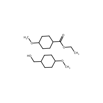 CCOC(=O)C1CCC(OC)CC1.COC1CCC(CO)CC1